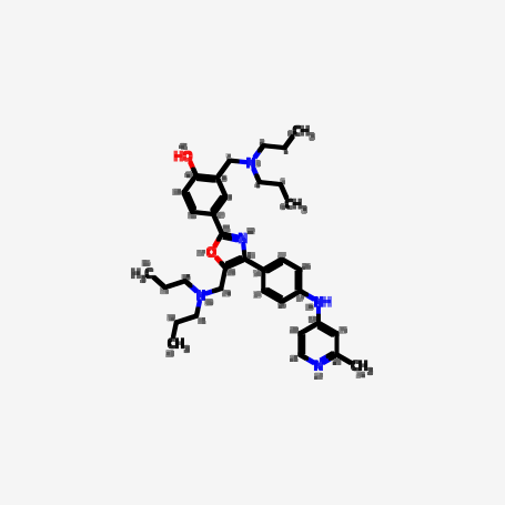 CCCN(CCC)Cc1cc(-c2nc(-c3ccc(Nc4ccnc(C)c4)cc3)c(CN(CCC)CCC)o2)ccc1O